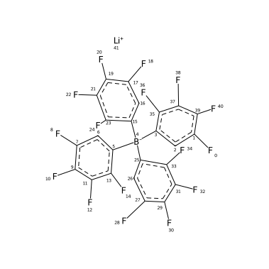 Fc1cc([B-](c2cc(F)c(F)c(F)c2F)(c2cc(F)c(F)c(F)c2F)c2cc(F)c(F)c(F)c2F)c(F)c(F)c1F.[Li+]